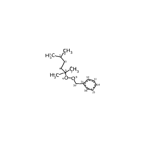 CC(C)CCC(C)(C)OOCc1ccccc1